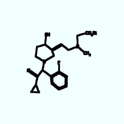 CCOC(=O)CN(C)CC=C1CN(C(C(=O)C2CC2)c2ccccc2F)CCC1S